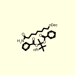 CCCC(C)(C)C(C)(OC(=O)c1ccccc1)OC(=O)c1ccccc1.CCCCCCCCCCCCCCCCCC(N)=O